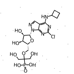 O=P(O)(O)C(CO)(CO)OC[C@H]1O[C@@H](n2ncc3c(NC4CCC4)nc(Cl)nc32)[C@H](O)[C@@H]1O